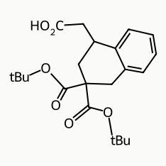 CC(C)(C)OC(=O)C1(C(=O)OC(C)(C)C)Cc2ccccc2C(CC(=O)O)C1